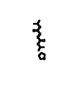 C1CCOC1.CC(C)OC(=O)N=NC(=O)OC(C)C